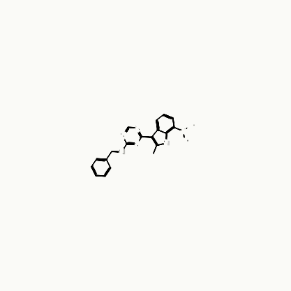 Cc1[nH]c2c(B(O)O)cccc2c1-c1ncnc(NCc2ccccc2)n1